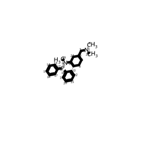 CN(C)CC1CCCC(N(C)P(c2ccccc2)c2ccccc2)C1